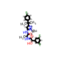 C[C@H](NC(=O)[C@@H](O)c1cc(F)cc(F)c1)C(=O)Nc1cc(C(C)(C)c2ccc(F)cc2)nn1C(C)(C)C